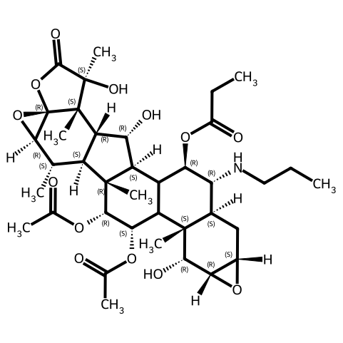 CCCN[C@H]1[C@H](OC(=O)CC)C2C([C@H](OC(C)=O)[C@H](OC(C)=O)[C@]3(C)[C@H]4[C@H](C)[C@H]5O[C@]56OC(=O)[C@@](C)(O)[C@]6(C)[C@@H]4[C@H](O)[C@@H]23)[C@]2(C)[C@@H]1C[C@@H]1O[C@@H]1[C@@H]2O